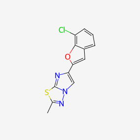 Cc1nn2cc(-c3cc4cccc(Cl)c4o3)nc2s1